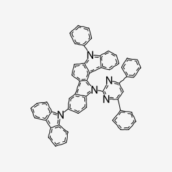 c1ccc(-c2cc(-c3ccccc3)nc(-n3c4ccc(-n5c6ccccc6c6ccccc65)cc4c4ccc5c(c6ccccc6n5-c5ccccc5)c43)n2)cc1